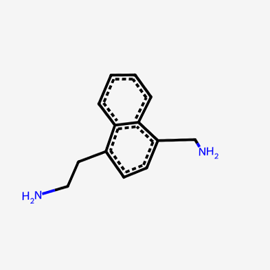 NCCc1ccc(CN)c2ccccc12